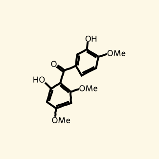 COc1cc(O)c(C(=O)c2ccc(OC)c(O)c2)c(OC)c1